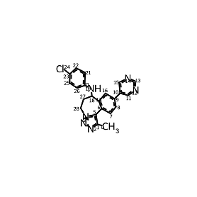 Cc1nnn2c1-c1ccc(-c3cncnc3)cc1C(Nc1ccc(Cl)cc1)CC2